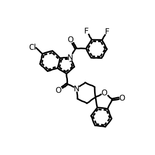 O=C1OC2(CCN(C(=O)c3cn(C(=O)c4cccc(F)c4F)c4cc(Cl)ccc34)CC2)c2ccccc21